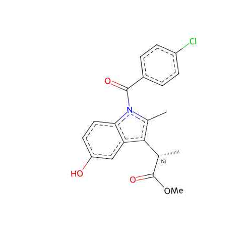 COC(=O)[C@@H](C)c1c(C)n(C(=O)c2ccc(Cl)cc2)c2ccc(O)cc12